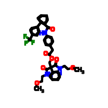 COCCNC(=O)C(COC(=O)Cc1ccc(NC(=O)c2ccccc2-c2ccc(C(F)(F)F)cc2)cc1)(C(=O)NCCOC)c1ccccc1